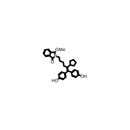 COC1c2ccccc2C(=O)N1CCCCC(=C(c1ccc(O)cc1)c1ccc(O)cc1)C1CCCC1